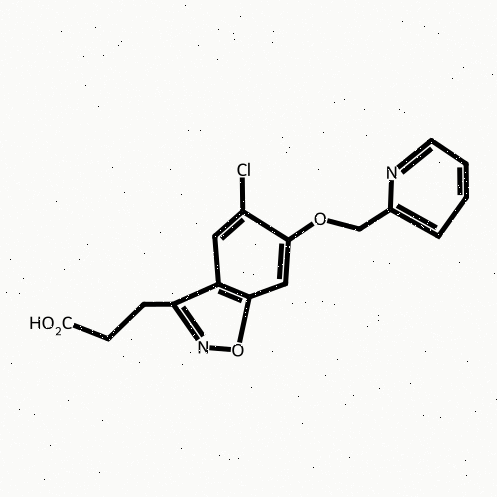 O=C(O)CCc1noc2cc(OCc3ccccn3)c(Cl)cc12